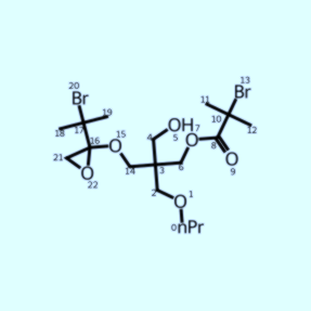 CCCOCC(CO)(COC(=O)C(C)(C)Br)COC1(C(C)(C)Br)CO1